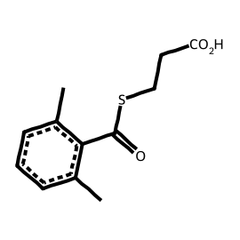 Cc1cccc(C)c1C(=O)SCCC(=O)O